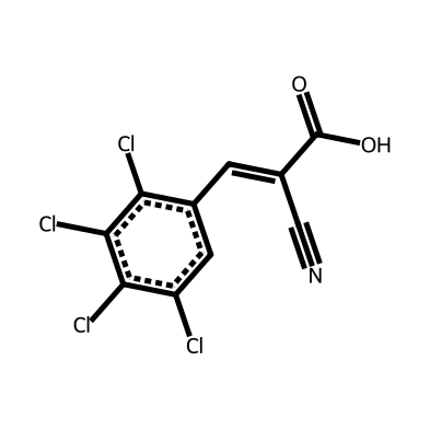 N#C/C(=C\c1cc(Cl)c(Cl)c(Cl)c1Cl)C(=O)O